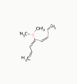 C=C/C=C\C(=C/C=C)B(C)C